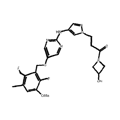 COc1cc(C)c(F)c(COc2cnc(Nc3cnn(CCC(=O)N4CC(O)C4)c3)nc2)c1F